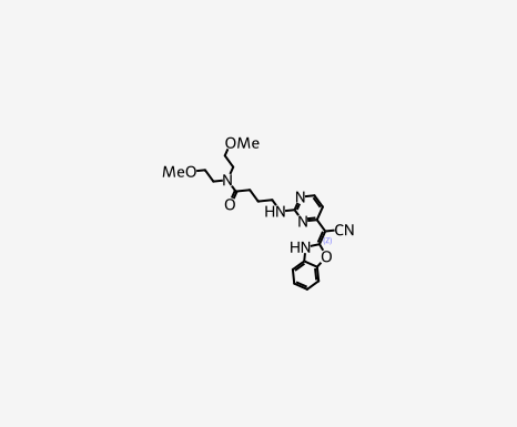 COCCN(CCOC)C(=O)CCCNc1nccc(/C(C#N)=C2\Nc3ccccc3O2)n1